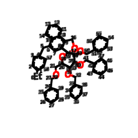 CCc1ccc(Cc2cc3c(c4ccccc24)CO[C@]32O[C@H](COCc3ccccc3)[C@@H](OCc3ccccc3)[C@H](OCc3ccccc3)[C@H]2OCc2ccccc2)cc1